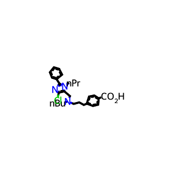 CCCCN(CCCc1ccc(C(=O)O)cc1)Cc1c(Cl)nc(-c2ccccc2)n1CCC